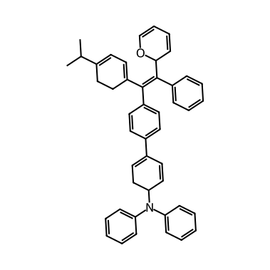 CC(C)C1=CC=C(/C(=C(/c2ccccc2)C2C=CC=CO2)c2ccc(C3=CCC(N(c4ccccc4)c4ccccc4)C=C3)cc2)CC1